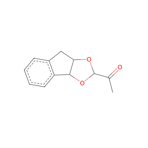 CC(=O)C1OC2Cc3ccccc3C2O1